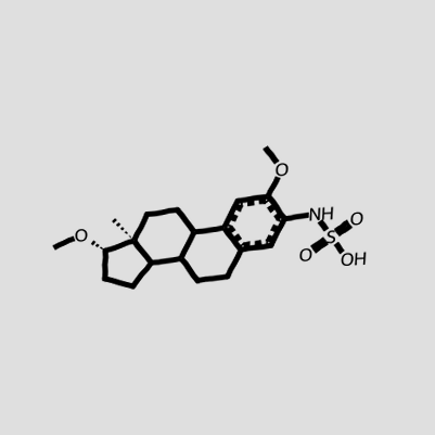 COc1cc2c(cc1NS(=O)(=O)O)CCC1C2CC[C@@]2(C)C1CC[C@@H]2OC